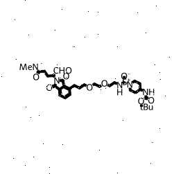 CNC(=O)CCC(C=O)N1C(=O)c2cccc(CCCOCCOCCN[S+]([O-])N3CCC(NC(=O)OC(C)(C)C)CC3)c2C1=O